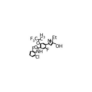 CCn1nc(-c2cc(OC(C)C(F)(F)F)c(C(=O)Nc3c(F)cccc3Cl)cc2F)cc1CO